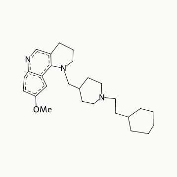 COc1ccc2ncc3c(c2c1)N(CC1CCN(CCC2CCCCC2)CC1)CCC3